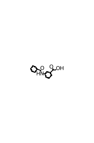 O=C(CO)c1cccc(NC(=O)c2ccccc2)c1